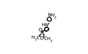 C[C@@H]1CN(C(=O)c2cccc(NC[C@H]3CC[C@H](N)CC3)c2)C[C@H](C)O1